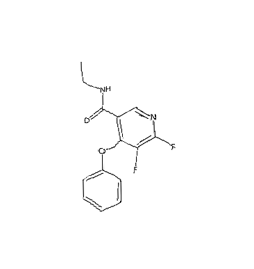 CCNC(=O)c1cnc(F)c(F)c1Oc1ccccc1